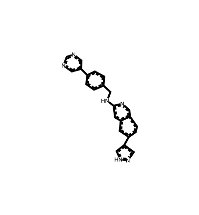 c1ncc(-c2ccc(CNc3cc4cc(-c5cn[nH]c5)ccc4cn3)cc2)cn1